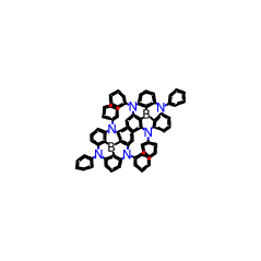 c1ccc(N2c3cccc4c3B3c5c2cccc5N(c2ccccc2)c2c3c(cc3c5c6c(cc23)N(c2ccccc2)c2cccc3c2B6c2c(cccc2N5c2ccccc2)N3c2ccccc2)N4c2ccccc2)cc1